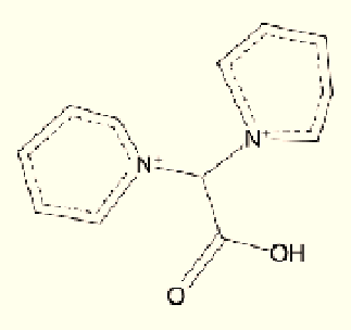 O=C(O)C([n+]1ccccc1)[n+]1ccccc1